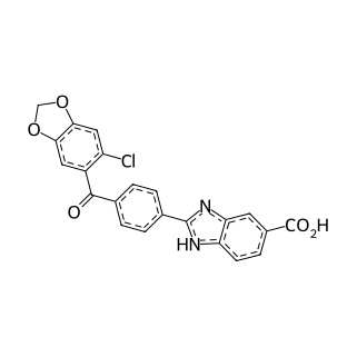 O=C(O)c1ccc2[nH]c(-c3ccc(C(=O)c4cc5c(cc4Cl)OCO5)cc3)nc2c1